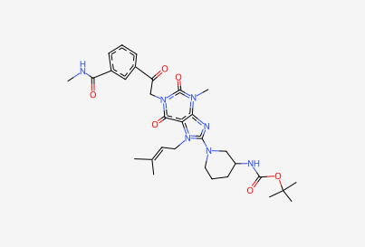 CNC(=O)c1cccc(C(=O)Cn2c(=O)c3c(nc(N4CCCC(NC(=O)OC(C)(C)C)C4)n3CC=C(C)C)n(C)c2=O)c1